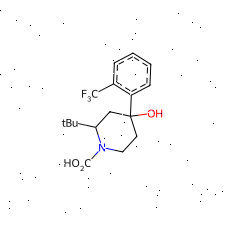 CC(C)(C)C1CC(O)(c2ccccc2C(F)(F)F)CCN1C(=O)O